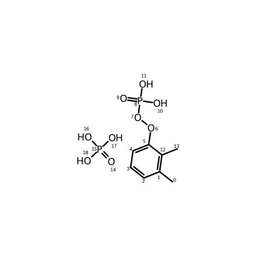 Cc1cccc(OOP(=O)(O)O)c1C.O=P(O)(O)O